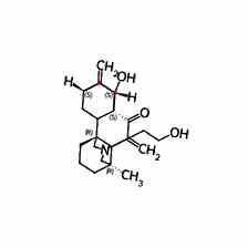 C=C1C(=O)[C@@]23CC[C@@H](CC2[C@@]24CCC[C@@](C)(CN(CCO)C2)C14)C(=C)[C@@H]3O